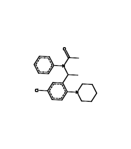 CC(=O)N(c1ccccc1)C(C)c1cc(Cl)ccc1N1CCCCC1